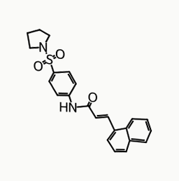 O=C(/C=C/c1cccc2ccccc12)Nc1ccc(S(=O)(=O)N2CCCC2)cc1